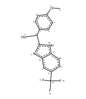 COc1ccc(C(O)c2nc3cc(C(F)(F)F)ccc3[nH]2)cc1